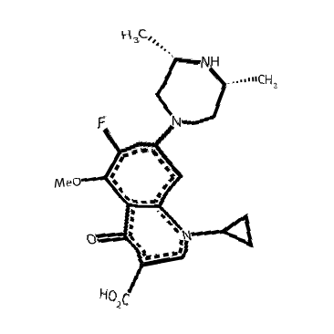 COc1c(F)c(N2C[C@@H](C)N[C@@H](C)C2)cc2c1c(=O)c(C(=O)O)cn2C1CC1